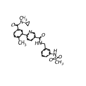 Cc1ccc(C(=O)N(C)C2CC2)cc1-c1ccc(C(=O)NCc2cccc(NS(C)(=O)=O)c2)cn1